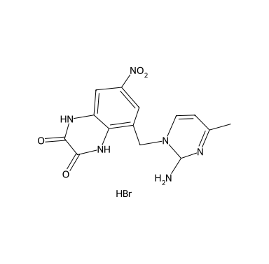 Br.CC1=NC(N)N(Cc2cc([N+](=O)[O-])cc3[nH]c(=O)c(=O)[nH]c23)C=C1